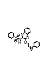 CN(CCOc1nc2ccccc2nc1NS(=O)(=O)c1ccccc1)c1ccccc1